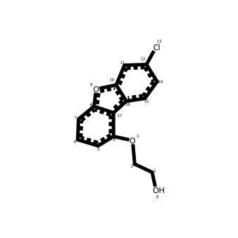 OCCOc1cccc2oc3cc(Cl)ccc3c12